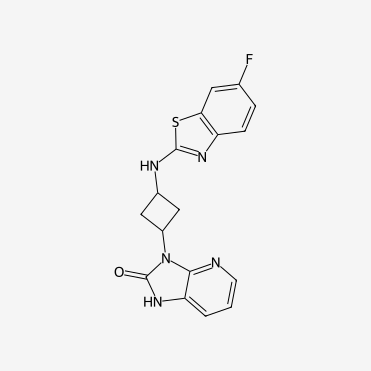 O=c1[nH]c2cccnc2n1C1CC(Nc2nc3ccc(F)cc3s2)C1